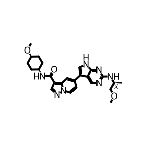 COC[C@H](C)Nc1ncc2c(-c3ccn4ncc(C(=O)N[C@H]5CC[C@H](OC)CC5)c4c3)c[nH]c2n1